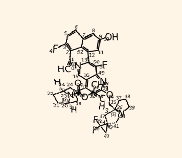 C#Cc1c(F)ccc2cc(O)cc(-c3ncc4c(N5C[C@H]6CC[C@@H](C5)N6C(=O)OC(C)C)nc(OC[C@@]56CCCN5C[C@@]5(CC5(F)F)C6)nc4c3F)c12